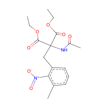 CCOC(=O)C(Cc1cccc(C)c1[N+](=O)[O-])(NC(C)=O)C(=O)OCC